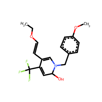 CCO/C=C/C1=CN(Cc2ccc(OC)cc2)C(O)C=C1C(F)(F)F